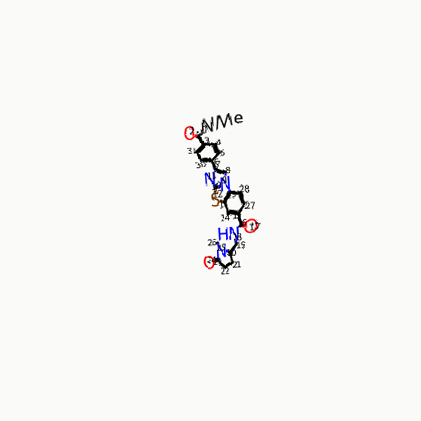 CNC(=O)c1ccc(-c2cn3c(n2)sc2cc(C(=O)NCC4CCC(=O)N4C)ccc23)cc1